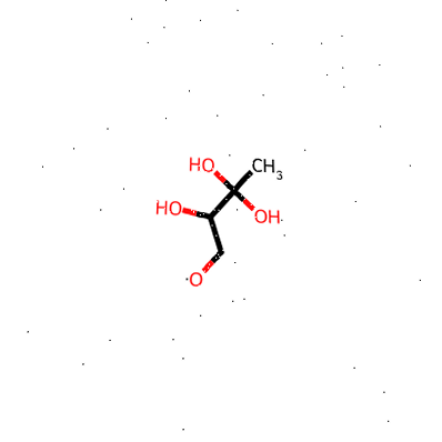 CC(O)(O)C(O)C[O]